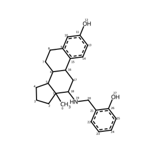 CC12CCCC1C1CCc3cc(O)ccc3C1CC2NCc1ccccc1O